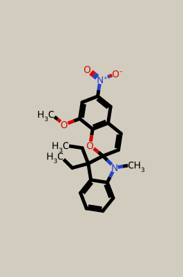 CCC1(CC)c2ccccc2N(C)C12C=Cc1cc([N+](=O)[O-])cc(OC)c1O2